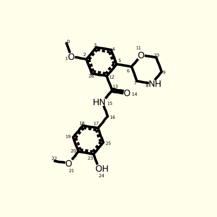 COc1ccc(C2CNCCO2)c(C(=O)NCc2ccc(OC)c(O)c2)c1